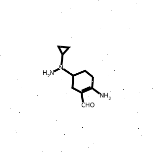 NC1=C(C=O)CC(N(N)C2CC2)CC1